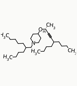 CCCCCC(CCCC)CN1CCC(O[C@H](C)C#CC(CCCC)CCCC)CC1